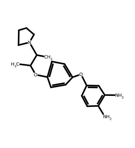 CC(Oc1ccc(Oc2ccc(N)c(N)c2)cc1)C(C)N1CCCC1